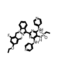 CCOc1cc(F)c(Cn2nc(-c3nc(Nc4ccncc4)c(NS(=O)(=O)CC)c(Nc4ccncc4)n3)c3ccccc32)c(F)c1